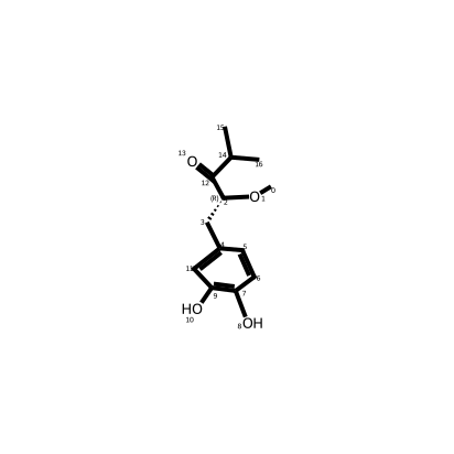 CO[C@H](Cc1ccc(O)c(O)c1)C(=O)C(C)C